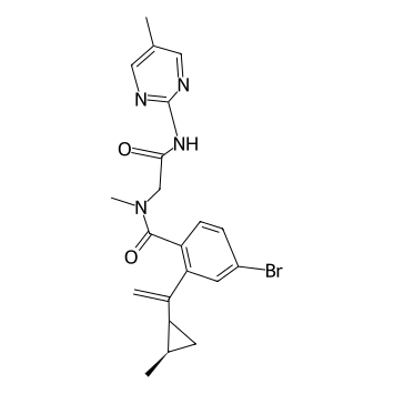 C=C(c1cc(Br)ccc1C(=O)N(C)CC(=O)Nc1ncc(C)cn1)C1C[C@H]1C